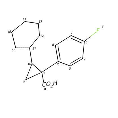 O=C(O)C1(c2ccc(F)cc2)CC1C1CCCCC1